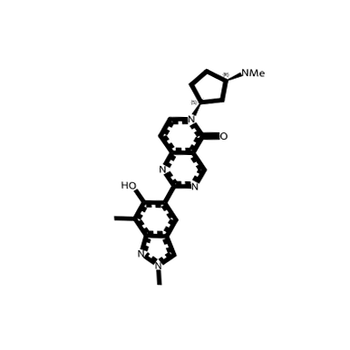 CN[C@@H]1CC[C@H](n2ccc3nc(-c4cc5cn(C)nc5c(C)c4O)ncc3c2=O)C1